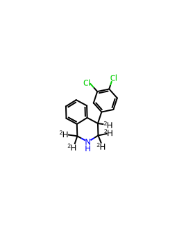 [2H]C1([2H])NC([2H])([2H])C([2H])(c2ccc(Cl)c(Cl)c2)c2ccccc21